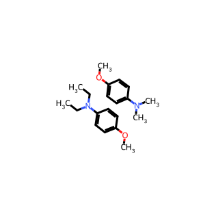 CCN(CC)c1ccc(OC)cc1.COc1ccc(N(C)C)cc1